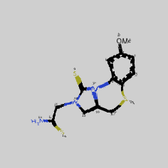 COc1ccc2c(c1)N1C(=S)N(CC(N)=S)CC1CS2